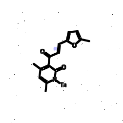 Cc1ccc(/C=C/C(=O)c2c(C)cc(C)[n]([Ta])c2=O)o1